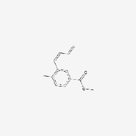 C=C/C=C\c1cc(C(=O)OC)ccc1C